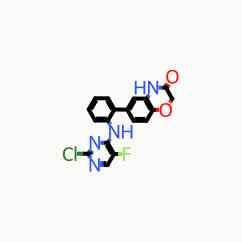 O=C1COc2ccc(-c3ccccc3Nc3nc(Cl)ncc3F)cc2N1